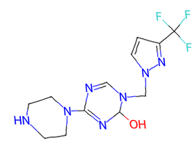 OC1N=C(N2CCNCC2)N=CN1Cn1ccc(C(F)(F)F)n1